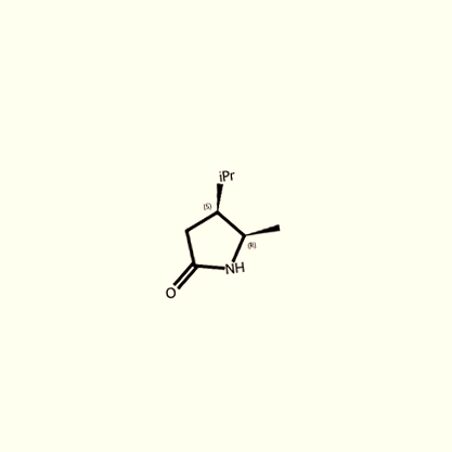 CC(C)[C@@H]1CC(=O)N[C@@H]1C